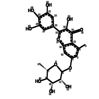 Cc1cc(OC2O[C@@H](C)C(O)[C@@H](O)[C@H]2O)cc2oc(-c3cc(O)c(O)c(O)c3)c(O)c(=O)c12